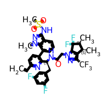 C=Cc1ccc(-c2cccc3c(NS(C)(=O)=O)nn(C)c23)c([C@H](Cc2cc(F)cc(F)c2)NC(=O)Cn2nc(C(F)(F)F)c3c2C(F)(F)[C@H](C)[C@@H]3C)n1